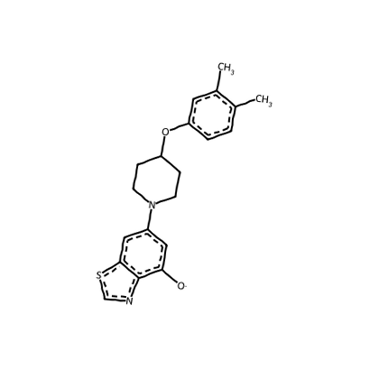 Cc1ccc(OC2CCN(c3cc([O])c4ncsc4c3)CC2)cc1C